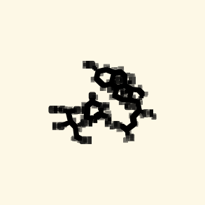 CC[C@H](/C=C/[C@@H](C)[C@H]1CC[C@H]2[C@@H]3CC=C4C[C@@H](O)CC[C@]4(C)[C@H]3CC[C@]12C)C(C)C.Nc1nccc(=O)[nH]1.O=C[C@@H](O)[C@H](O)[C@H](O)CO